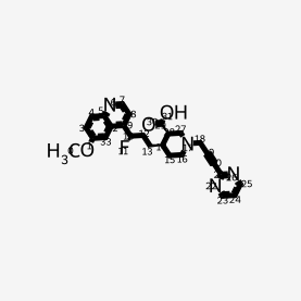 COc1ccc2nccc([C@H](F)CC[C@@H]3CCN(CC#Cc4ncccn4)C[C@@H]3C(=O)O)c2c1